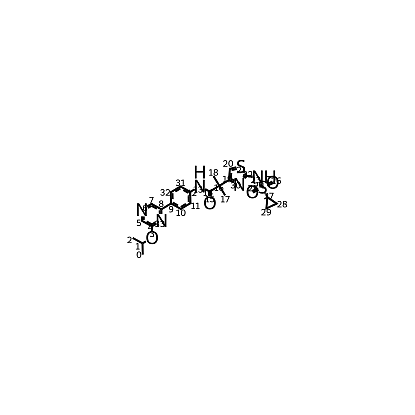 CC(C)Oc1cncc(-c2ccc(NC(=O)C(C)(C)c3csc(NS(=O)(=O)C4CC4)n3)cc2)n1